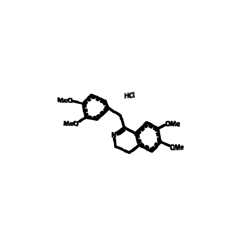 COc1ccc(CC2=NCCc3cc(OC)c(OC)cc32)cc1OC.Cl